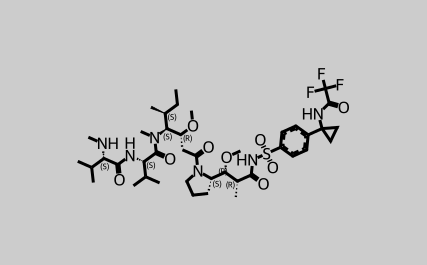 CC[C@H](C)[C@@H]([C@@H](CC(=O)N1CCC[C@H]1[C@H](OC)[C@@H](C)C(=O)NS(=O)(=O)c1ccc(C2(NC(=O)C(F)(F)F)CC2)cc1)OC)N(C)C(=O)[C@@H](NC(=O)[C@@H](NC)C(C)C)C(C)C